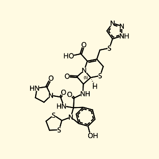 O=C(O)C1=C(CSc2cnn[nH]2)CS[C@H]2C(NC(=O)C3(NC(=O)N4CCNC4=O)c4ccc(O)c(c4)N3C3SCCS3)C(=O)N12